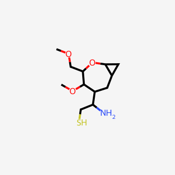 COCC1OC2CC2CC(C(N)CS)C1OC